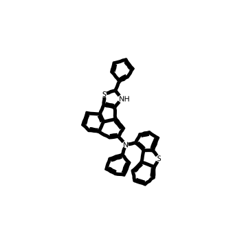 c1ccc(C2NC3=C(S2)c2cccc4cc(N(c5ccccc5)c5cccc6sc7ccccc7c56)cc3c24)cc1